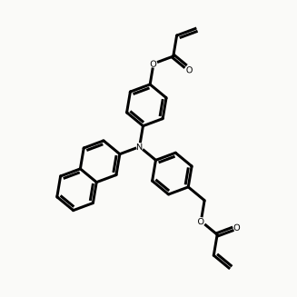 C=CC(=O)OCc1ccc(N(c2ccc(OC(=O)C=C)cc2)c2ccc3ccccc3c2)cc1